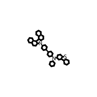 c1ccc(N(c2ccc(-c3ccc(-n4c5ccc6ccccc6c5c5c6ccccc6ccc54)cc3)cc2)c2ccc3sc4ccccc4c3c2)cc1